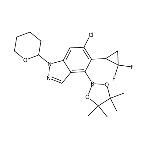 CC1(C)OB(c2c(C3CC3(F)F)c(Cl)cc3c2cnn3C2CCCCO2)OC1(C)C